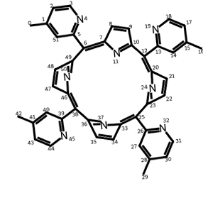 Cc1ccnc(C2=C3C=CC(=N3)C(c3cc(C)ccn3)=C3C=CC(=N3)C(c3cc(C)ccn3)=C3C=CC(=N3)C(c3cc(C)ccn3)=C3C=CC2=N3)c1